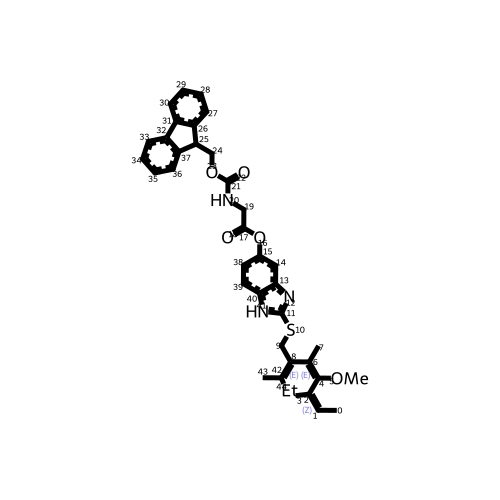 C\C=C(C)/C(OC)=C(C)\C(CSc1nc2cc(OC(=O)CNC(=O)OCC3c4ccccc4-c4ccccc43)ccc2[nH]1)=C(\C)CC